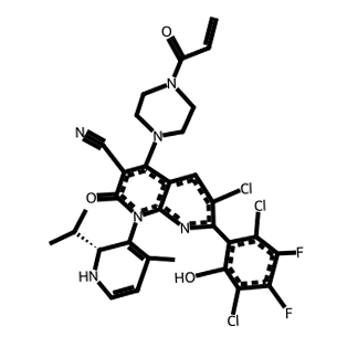 C=CC(=O)N1CCN(c2c(C#N)c(=O)n(C3=C(C)C=CN[C@@H]3C(C)C)c3nc(-c4c(O)c(Cl)c(F)c(F)c4Cl)c(Cl)cc23)CC1